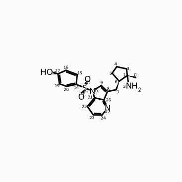 C[C@]1(N)CCC[C@@H]1Cc1cn(S(=O)(=O)c2ccc(O)cc2)c2cccnc12